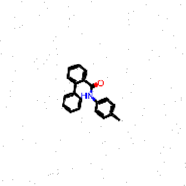 [CH2]c1ccc(NC(=O)c2ccccc2-c2ccccc2)cc1